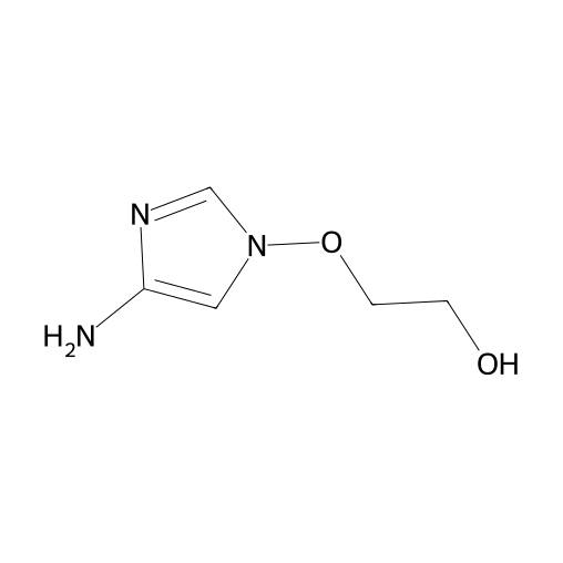 Nc1cn(OCCO)cn1